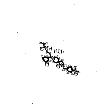 CC(C)C(=O)NCCC(c1cccc(Cl)c1)N1CCC2(CCN(Cc3ccc(S(C)(=O)=O)cc3)C2=O)CC1.Cl